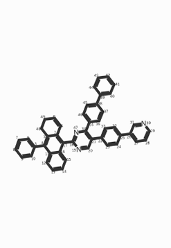 C1=Cc2c(c(-c3ccccc3)c3ccccc3c2-c2ncc(-c3ccc(-c4cccnc4)cc3)c(-c3ccc(-c4ccccc4)cc3)n2)CC1